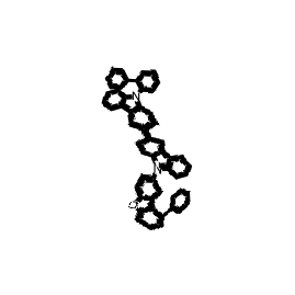 c1ccc(-c2ccccc2-n2c3ccccc3c3cc(-c4ccc5c(c4)c4ccccc4n5-c4ccc5oc6cccc(-c7ccccc7)c6c5c4)ccc32)cc1